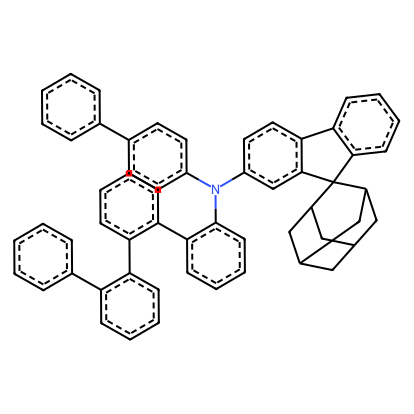 c1ccc(-c2ccc(N(c3ccc4c(c3)C3(c5ccccc5-4)C4CC5CC(C4)CC3C5)c3ccccc3-c3ccccc3-c3ccccc3-c3ccccc3)cc2)cc1